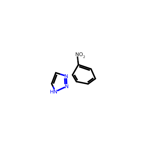 O=[N+]([O-])c1ccccc1.c1c[nH]nn1